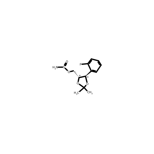 CC1(C)O[C@H](c2ccccc2F)[C@@H](COS(N)=O)O1